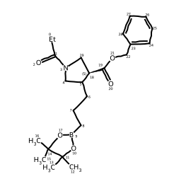 CCC(=O)N1CC(CCCB2OC(C)(C)C(C)(C)O2)[C@H](C(=O)OCc2ccccc2)C1